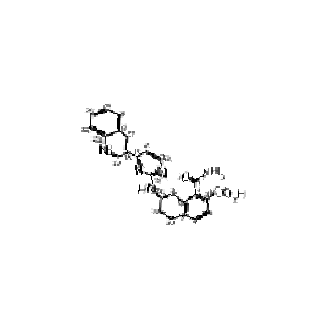 NC(=O)c1c(C(=O)O)ccc2c1CC(Nc1nccc(-c3cnc4ccccc4c3)n1)CC2